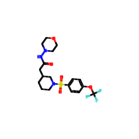 O=C(CC1CCCN(S(=O)(=O)c2ccc(OC(F)(F)F)cc2)C1)NN1CCOCC1